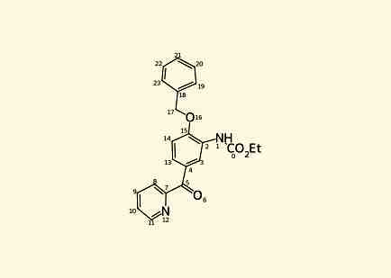 CCOC(=O)Nc1cc(C(=O)c2ccccn2)ccc1OCc1ccccc1